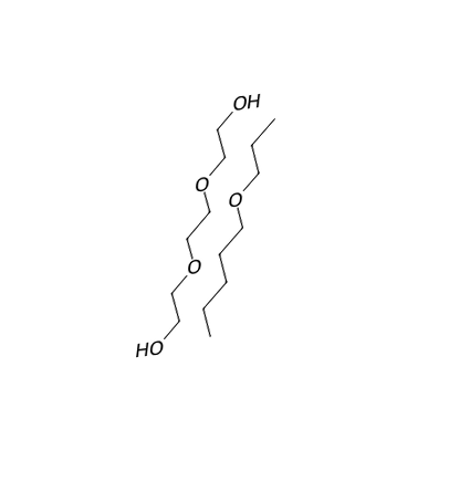 CCCCCOCCC.OCCOCCOCCO